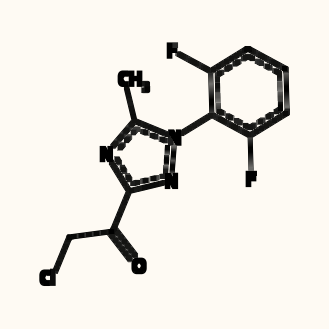 Cc1nc(C(=O)CCl)nn1-c1c(F)cccc1F